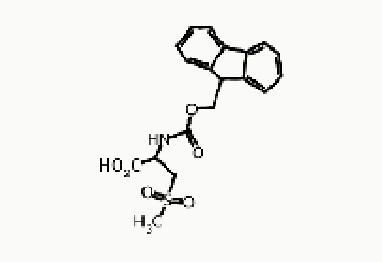 CS(=O)(=O)CC(NC(=O)OCC1c2ccccc2-c2ccccc21)C(=O)O